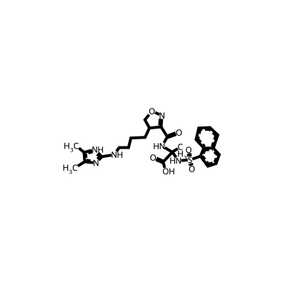 Cc1nc(NCCCCC2CON=C2C(=O)NC(C)(NS(=O)(=O)c2cccc3ccccc23)C(=O)O)[nH]c1C